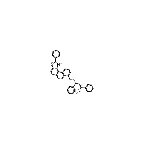 CN1c2c(ccc3ccc4c(CNC(/C=C(\N)c5ccccc5)c5ccccc5)cccc4c23)SC1c1ccccc1